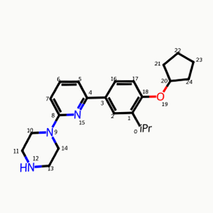 CC(C)c1cc(-c2cccc(N3CCNCC3)n2)ccc1OC1CCCC1